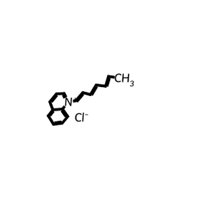 CC=CC=CC=C[n+]1cccc2ccccc21.[Cl-]